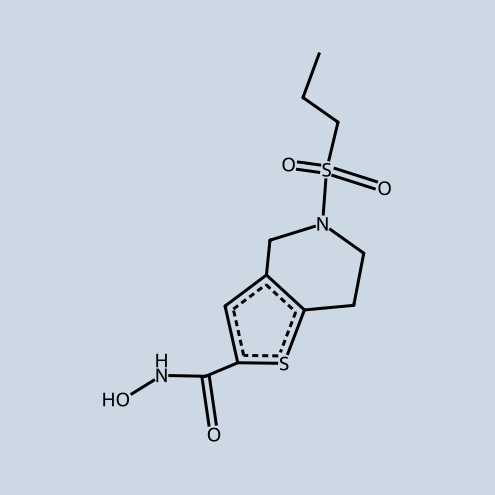 CCCS(=O)(=O)N1CCc2sc(C(=O)NO)cc2C1